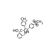 Cc1ccc(-c2c(-c3ccc(S(C)(=O)=O)cc3)nn(Cc3ccccc3)c2C(=O)O)cc1